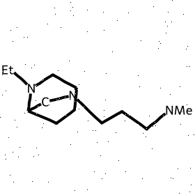 CCN1CC2CCC1CN2CCCNC